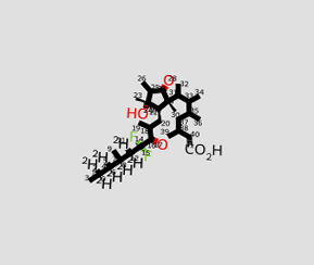 [2H]C([2H])(C)C([2H])([2H])C([2H])(C)C([2H])([2H])C(F)(F)C(=O)C(C)C[C@H]1[C@](C)(O)C(C)C(=O)[C@]1(C)C(C)C(C)C(C)CC(C)CC(=O)O